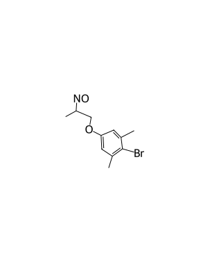 Cc1cc(OCC(C)N=O)cc(C)c1Br